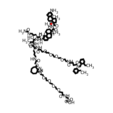 C=Cc1ccccc1N(Cc1ccccc1CC)C(=O)CCC(=O)NCCOCCOCCOCCOCCC(=O)N[C@H](CCCCNC(=O)COC1CCCCCc2c1nnn2CCOCCOCCOCCOCCC(=O)NCCS(=O)(=O)O)C(=O)N[C@H](C(=O)N[C@@H](CCCNC(N)=O)C(=O)Nc1ccc2c(c1)[C@@]1(C)CCC[C@](C)(C(=O)NC(=O)[C@@]3(C)CCC[C@]4(C)c5cc(N)ccc5CC[C@@H]34)[C@@H]1CC2)C(C)C